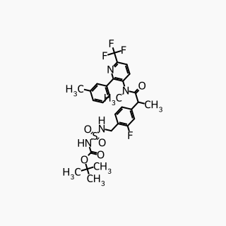 Cc1cccc(-c2nc(C(F)(F)F)ccc2N(C)C(=O)C(C)c2ccc(CNS(=O)(=O)NC(=O)OC(C)(C)C)c(F)c2)c1